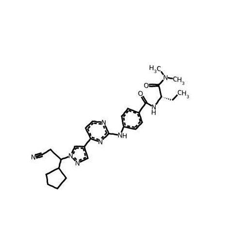 CC[C@H](NC(=O)c1ccc(Nc2nccc(-c3cnn(C(CC#N)C4CCCC4)c3)n2)cc1)C(=O)N(C)C